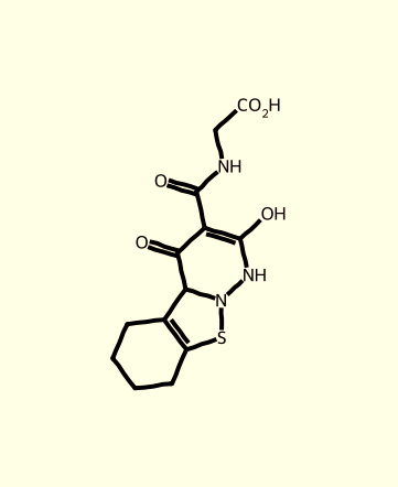 O=C(O)CNC(=O)C1=C(O)NN2SC3=C(CCCC3)C2C1=O